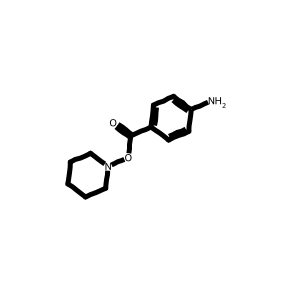 Nc1ccc(C(=O)ON2CCCCC2)cc1